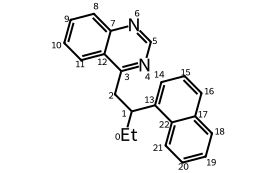 CCC(Cc1ncnc2ccccc12)c1cccc2ccccc12